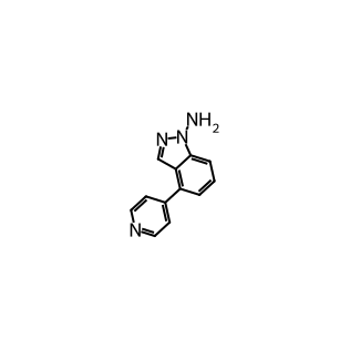 Nn1ncc2c(-c3ccncc3)cccc21